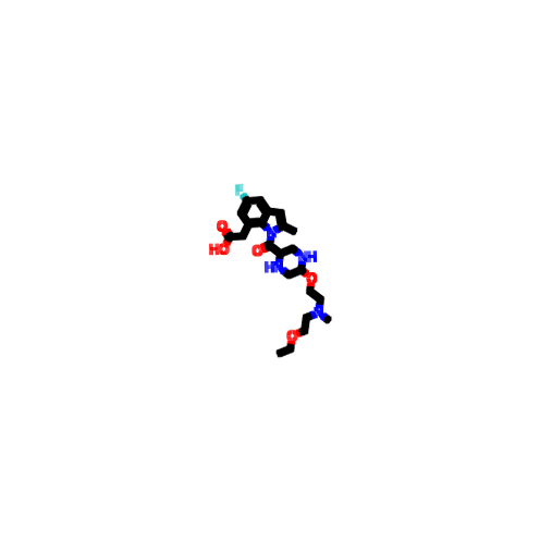 CCOCCN(C)CCOC1CNC(C(=O)n2c(C)cc3cc(F)cc(CC(=O)O)c32)CN1